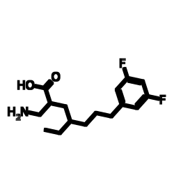 CCC(CCCc1cc(F)cc(F)c1)CC(CN)C(=O)O